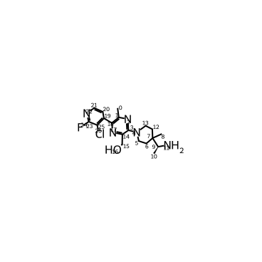 Cc1nc(N2CCC(C)([C@H](C)N)CC2)c(CO)nc1-c1ccnc(F)c1Cl